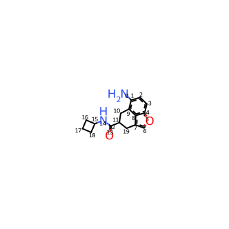 Nc1ccc2occ3c2c1CC(C(=O)NC1CCC1)C3